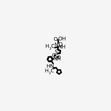 CCC1(c2ccc(S(=O)(=O)Nc3ccccc3CN[C@@H](C)CC3CCCC3)s2)N=C(C(=O)O)ON1